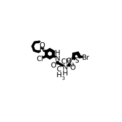 CC(C)(NC(=O)Oc1ccc(Br)s1)C(=O)Nc1ccc(N2CCCCCO2)c(Cl)c1